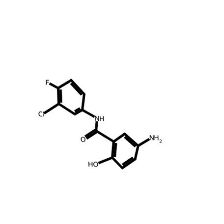 Nc1ccc(O)c(C(=O)Nc2ccc(F)c(Cl)c2)c1